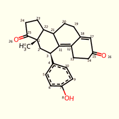 C[C@]12C[C@H](c3ccc(O)cc3)C3=C4CCC(=O)C=C4CCC3C1CCC2=O